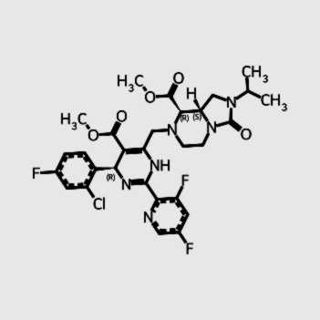 COC(=O)C1=C(CN2CCN3C(=O)N(C(C)C)C[C@H]3[C@@H]2C(=O)OC)NC(c2ncc(F)cc2F)=N[C@H]1c1ccc(F)cc1Cl